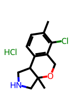 Cc1ccc2c(c1Cl)COC1(C)CNCC21.Cl